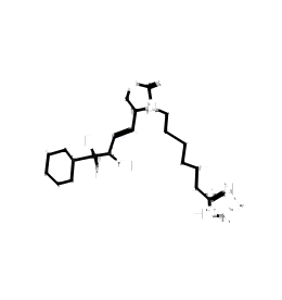 O=C1OCC(/C=C/C(O)C(F)(F)C2CCCCC2)N1CCCCCCc1nnn[nH]1